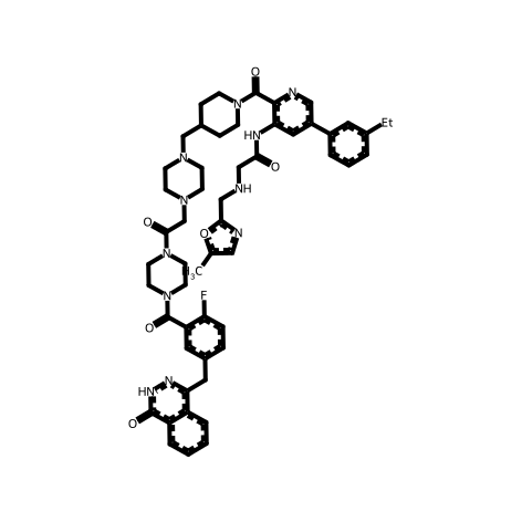 CCc1cccc(-c2cnc(C(=O)N3CCC(CN4CCN(CC(=O)N5CCN(C(=O)c6cc(Cc7n[nH]c(=O)c8ccccc78)ccc6F)CC5)CC4)CC3)c(NC(=O)CNCc3ncc(C)o3)c2)c1